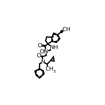 C#Cc1ccc2c(c1)CCC21NC[N+]([O-])(CC(=O)N(Cc2ccccc2)C(C)C2CC2)C1=O